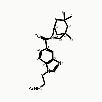 CC(=O)NCCn1cnc2cc(C(=O)N3CC4(C)CC3CC(C)(C)C4)ccc21